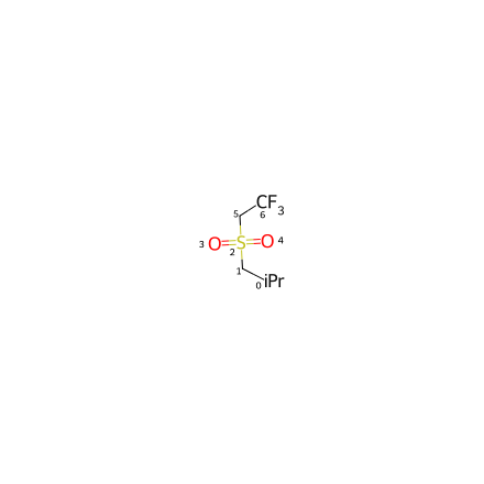 CC(C)CS(=O)(=O)CC(F)(F)F